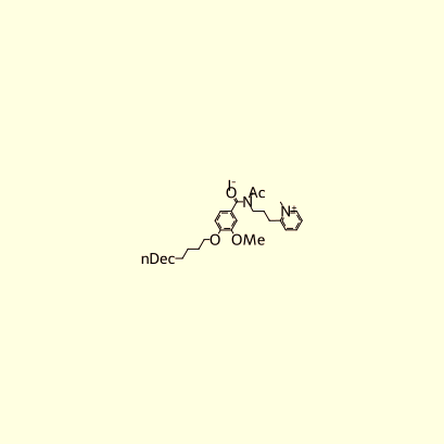 CCCCCCCCCCCCCCOc1ccc(C(=O)N(CCCc2cccc[n+]2C)C(C)=O)cc1OC.[I-]